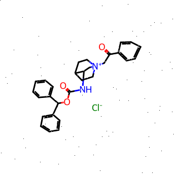 O=C(NC1C[N+]2(CC(=O)c3ccccc3)CCC1CC2)OC(c1ccccc1)c1ccccc1.[Cl-]